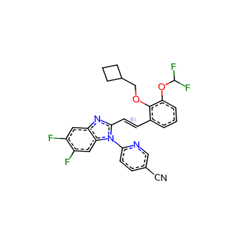 N#Cc1ccc(-n2c(/C=C/c3cccc(OC(F)F)c3OCC3CCC3)nc3cc(F)c(F)cc32)nc1